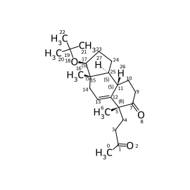 CC(=O)CC[C@@]1(C)C(=O)CC[C@@H]2C1=CC[C@]1(C)[C@@H](OC(C)(C)C)CC[C@@H]21